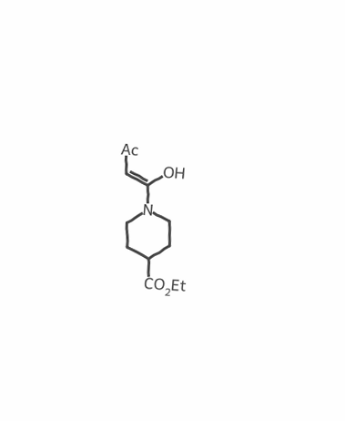 CCOC(=O)C1CCN(/C(O)=C/C(C)=O)CC1